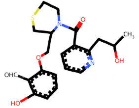 CC(O)Cc1ncccc1C(=O)N1CCSCC1COc1cccc(O)c1C=O